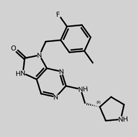 Cc1ccc(F)c(Cn2c(=O)[nH]c3cnc(NC[C@@H]4CCNC4)nc32)c1